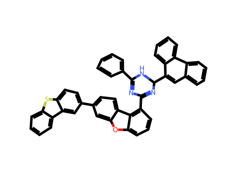 c1ccc(C2=NC(c3cccc4oc5cc(-c6ccc7sc8ccccc8c7c6)ccc5c34)=NC(c3cc4ccccc4c4ccccc34)N2)cc1